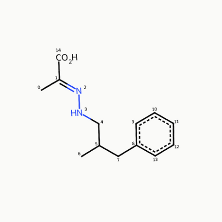 CC(=NNCC(C)Cc1ccccc1)C(=O)O